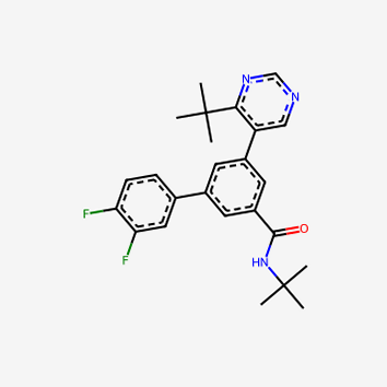 CC(C)(C)NC(=O)c1cc(-c2ccc(F)c(F)c2)cc(-c2cncnc2C(C)(C)C)c1